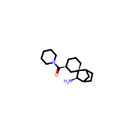 N[C@@H]1C2CCC(C2)[C@]12CCC[C@H](C(=O)N1CCCCC1)C2